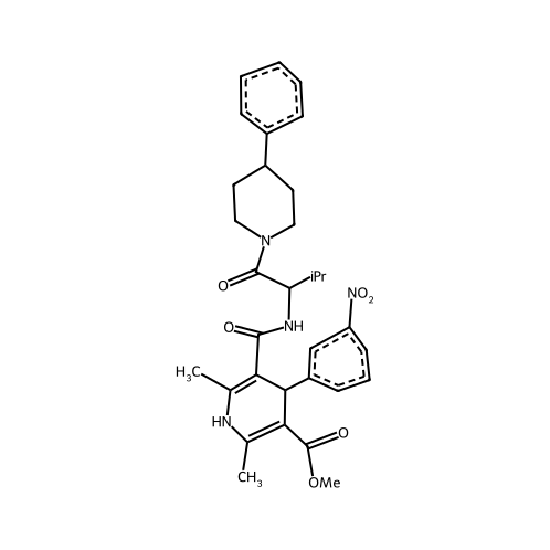 COC(=O)C1=C(C)NC(C)=C(C(=O)NC(C(=O)N2CCC(c3ccccc3)CC2)C(C)C)C1c1cccc([N+](=O)[O-])c1